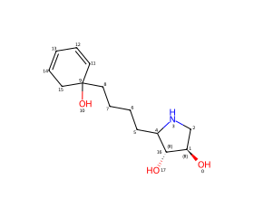 O[C@@H]1CNC(CCCCC2(O)C=CC=CC2)[C@H]1O